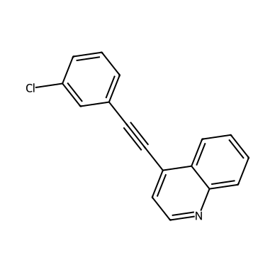 Clc1cccc(C#Cc2ccnc3ccccc23)c1